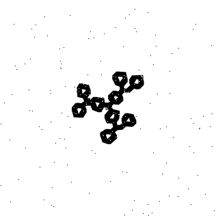 C(=C(\c1ccccc1)c1ccc(N(c2ccc(C(Cc3ccccc3)c3ccccc3)cc2)c2ccc(N(c3ccccc3)c3ccccc3)cc2)cc1)/c1ccccc1